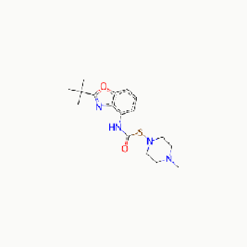 CN1CCN(SC(=O)Nc2cccc3oc(C(C)(C)C)nc23)CC1